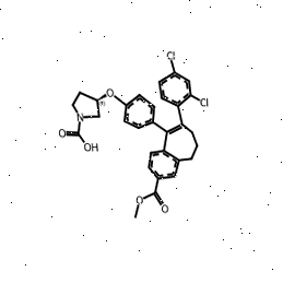 COC(=O)c1ccc2c(c1)CCCC(c1ccc(Cl)cc1Cl)=C2c1ccc(O[C@@H]2CCN(C(=O)O)C2)cc1